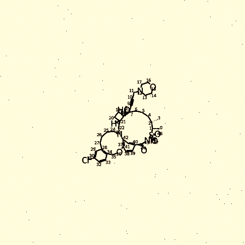 C[C@@H]1[C@@H](C)CCC[C@](O)(C#CCN2CCOCC2)[C@@H]2CC[C@H]2CN2CCCCc3cc(Cl)ccc3COc3ccc(cc32)C(=O)NS1(=O)=O